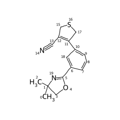 CC1(C)COC(c2cccc(C3=C(C#N)CSC3)c2)=N1